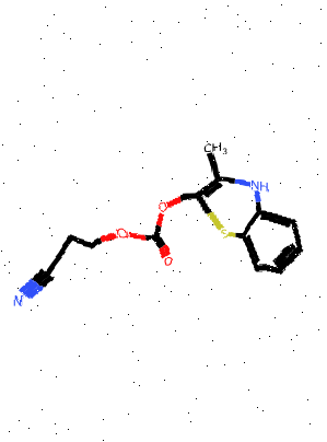 CC1=C(OC(=O)OCCC#N)Sc2ccccc2N1